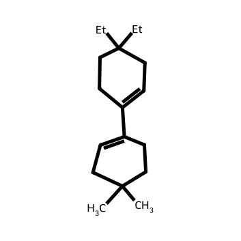 CCC1(CC)CC=C(C2=CCC(C)(C)CC2)CC1